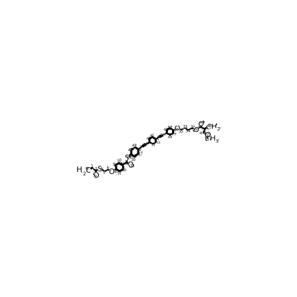 C=CC(=O)SCCOc1ccc(C(=O)Sc2ccc(C#Cc3ccc(C#Cc4ccc(OCCCCOC(=O)C(=C)COC)cc4)cc3)cc2)cc1